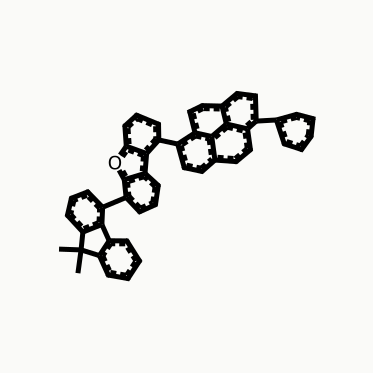 CC1(C)c2ccccc2-c2c(-c3cccc4c3oc3cccc(-c5ccc6ccc7c(-c8ccccc8)ccc8ccc5c6c87)c34)cccc21